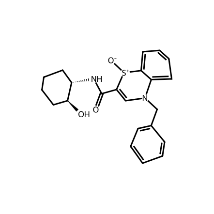 O=C(N[C@H]1CCCC[C@@H]1O)C1=CN(Cc2ccccc2)c2ccccc2[S+]1[O-]